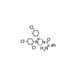 CC(C)[C@H](N)C(=O)N1CCN(c2ccc(Cl)cc2Cl)[C@H](c2ccc(Cl)cc2)C1